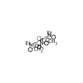 CCN1/C(=C/C=C2\CCCC(/C=C/C3=[N+](CC)c4ccccc4C3(C)C)=C2N(c2ccccc2)c2ccccc2)C(C)(C)c2ccccc21